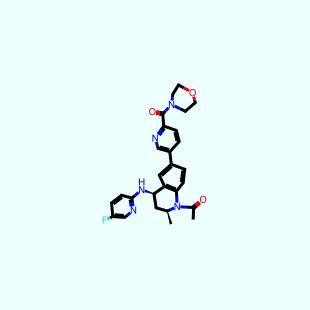 CC(=O)N1c2ccc(-c3ccc(C(=O)N4CCOCC4)nc3)cc2[C@H](Nc2ccc(F)cn2)C[C@@H]1C